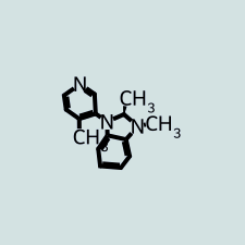 Cc1ccncc1N1c2ccccc2N(C)[C@@H]1C